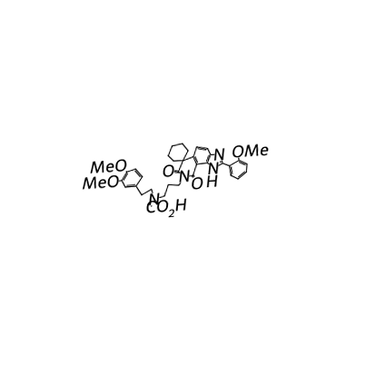 COc1ccc(CCN(CCCN2C(=O)c3c(ccc4nc(-c5ccccc5OC)[nH]c34)C3(CCCCC3)C2=O)C(=O)O)cc1OC